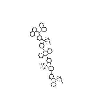 CC1(C)c2ccccc2-c2ccc(-c3ccc4c(c3)C(C)(C)c3cc(-c5c6ccccc6c(-c6ccc7c(c6)C(C)(C)c6cc(N(c8cccc9ccccc89)c8cccc9ccccc89)ccc6-7)c6ccccc56)ccc3-4)cc21